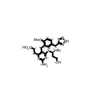 CCCC[C@@H](CCO)Nc1nc(N)nc(CCC(=O)O)c1Cc1cc(Cc2nn[nH]n2)ccc1OC